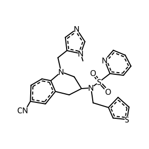 [C-]#[N+]c1ccc2c(c1)CC(N(Cc1ccsc1)S(=O)(=O)c1ccccn1)CN2Cc1cncn1C